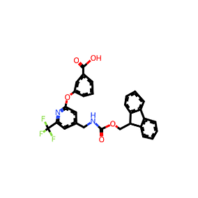 O=C(NCc1cc(Oc2cccc(C(=O)O)c2)nc(C(F)(F)F)c1)OCC1c2ccccc2-c2ccccc21